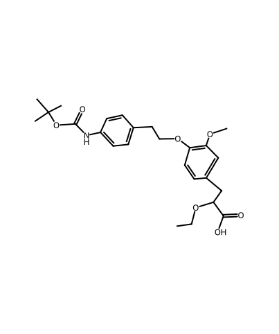 CCOC(Cc1ccc(OCCc2ccc(NC(=O)OC(C)(C)C)cc2)c(OC)c1)C(=O)O